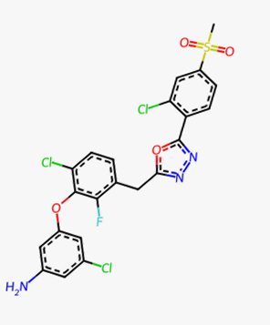 CS(=O)(=O)c1ccc(-c2nnc(Cc3ccc(Cl)c(Oc4cc(N)cc(Cl)c4)c3F)o2)c(Cl)c1